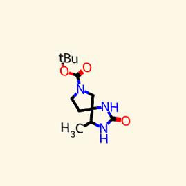 CC1NC(=O)NC12CCN(C(=O)OC(C)(C)C)C2